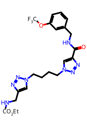 CCOC(=O)NCc1cn(CCCCn2cc(C(=O)NCc3cccc(OC(F)(F)F)c3)nn2)nn1